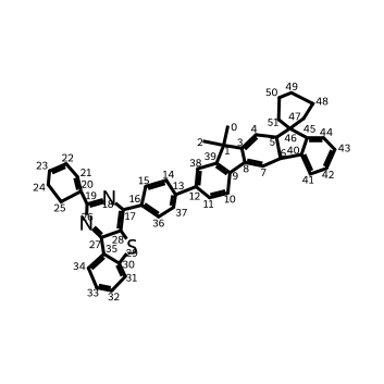 CC1(C)C2=CC3C(C=C2c2ccc(-c4ccc(-c5nc(C6=CC=CCC6)nc6c5sc5ccccc56)cc4)cc21)c1ccccc1C31CCCCC1